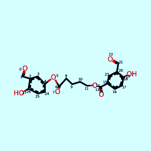 O=Cc1cc(OC(=O)CCCCOC(=O)c2ccc(O)c(C=O)c2)ccc1O